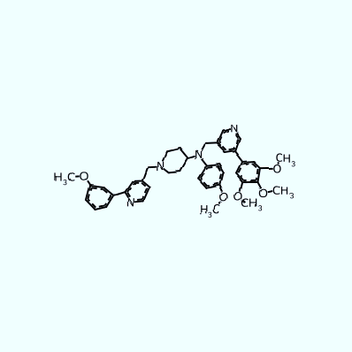 COc1ccc(N(Cc2cncc(-c3cc(OC)c(OC)c(OC)c3)c2)C2CCN(Cc3ccnc(-c4cccc(OC)c4)c3)CC2)cc1